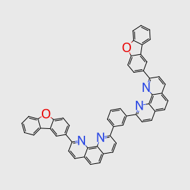 c1cc(-c2ccc3ccc4ccc(-c5ccc6oc7ccccc7c6c5)nc4c3n2)cc(-c2ccc3ccc4ccc(-c5ccc6oc7ccccc7c6c5)nc4c3n2)c1